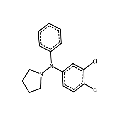 Clc1ccc(N(c2ccccc2)N2CCCC2)cc1Cl